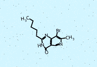 CCCCCc1nc2c(Br)c(C)ncc2c(=O)[nH]1